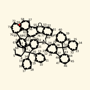 C=CC1=C(/C=C\C)C(c2ccccc2)(c2ccccc2)c2cc(N(c3ccc4c(c3)C(c3ccccc3)(c3ccccc3)c3ccccc3-4)c3cccc4oc5c6ccccc6c(-c6ccccc6-c6ccccc6)cc5c34)ccc21